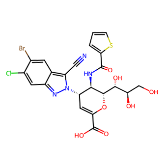 N#Cc1c2cc(Br)c(Cl)cc2nn1[C@H]1C=C(C(=O)O)O[C@@H]([C@H](O)[C@H](O)CO)[C@@H]1NC(=O)c1cccs1